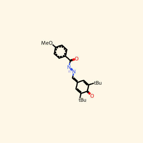 COc1ccc(C(=O)/N=N/C=C2C=C(C(C)(C)C)C(=O)C(C(C)(C)C)=C2)cc1